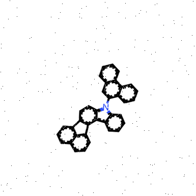 c1cc2c3c(cccc3c1)-c1c-2ccc2c1c1ccccc1n2-c1cc2ccccc2c2ccccc12